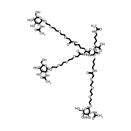 CC(=O)NCCCC[C@H](NC(=O)[C@H](CCCCNC(=O)COCCOCCOCCO[C@@H]1O[C@H](CO)[C@H](O)[C@H](O)[C@H]1NC(C)=O)NC(=O)[C@H](CCCCNC(=O)COCCOCCOCCO[C@@H]1O[C@H](CO)[C@H](O)[C@H](O)[C@H]1NC(C)=O)NC(=O)COCCOCCOCCO[C@@H]1O[C@H](CO)[C@H](O)[C@H](O)[C@H]1NC(C)=O)C(=O)O